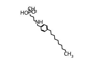 CCCCCCCCCCc1ccc(CNCCCP(C)(=O)O)cc1